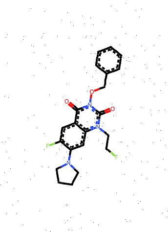 O=c1c2cc(F)c(N3CCCC3)cc2n(CCF)c(=O)n1OCc1ccccc1